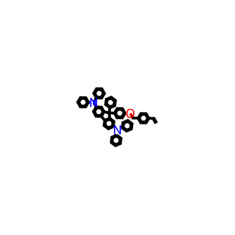 C=Cc1ccc(COc2ccc(C3(c4ccccc4)c4cc(N(c5ccccc5)c5ccccc5)ccc4-c4ccc(N(c5ccccc5)c5ccccc5)cc43)cc2)cc1